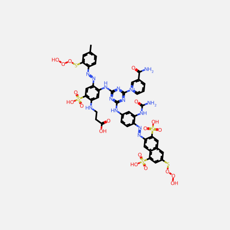 Cc1ccc(N=Nc2cc(S(=O)(=O)O)c(NCCC(=O)O)cc2Nc2nc(Nc3ccc(N=Nc4cc5c(S(=O)(=O)O)cc(SOOO)cc5cc4S(=O)(=O)O)c(NC(N)=O)c3)nc(-[n+]3cccc(C(N)=O)c3)n2)c(SOOO)c1